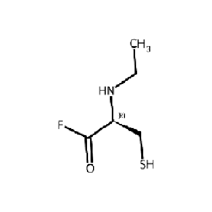 CCN[C@@H](CS)C(=O)F